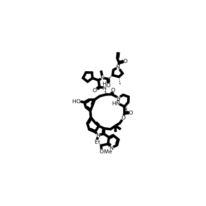 C=CC(=O)N1C[C@H](C)[C@H](C(=O)N(C)C(C(=O)N[C@H]2Cc3cc(O)cc(c3)-c3ccc4c(c3)c(c(-c3cccnc3COC)n4CC)CC(C)(C)COC(=O)[C@@H]3CCCN(N3)C2=O)C2CCCC2)C1